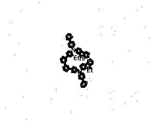 CCCC1(CC)c2ccccc2-c2ccc(N(c3ccc(-c4ccccc4)cc3)c3ccc(-c4cccc(-c5cccc(-c6ccc(N(c7ccc(-c8ccccc8)cc7)c7ccc8c(c7)C(C)(CC)c7ccccc7-8)cc6)c5)c4)cc3)cc21